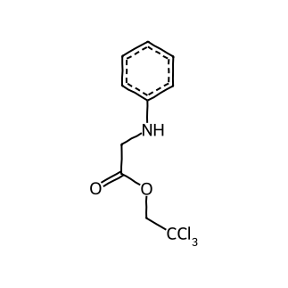 O=C(CNc1ccccc1)OCC(Cl)(Cl)Cl